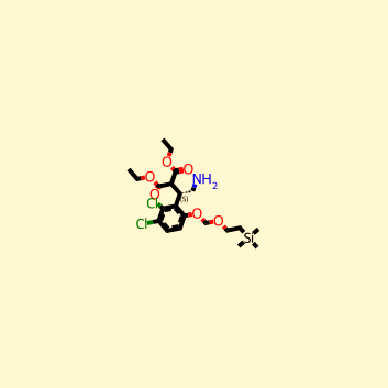 CCOC(=O)C(C(=O)OCC)[C@H](CN)c1c(OCOCC[Si](C)(C)C)ccc(Cl)c1Cl